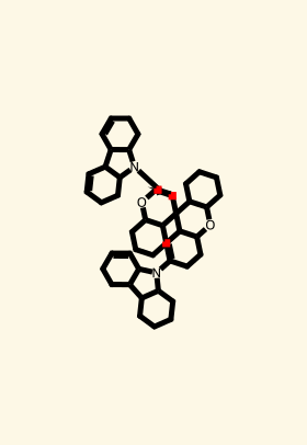 C1=CC2C(CC1)C1CCCCC1N2C1=CC2C(CC1)OC1CCCCC1C21C2CCCC(N3C4CCC=CC4C4C=CCCC43)=C2OC2CCCCC21